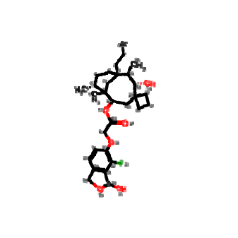 CC(=O)CC[C@]12CC[C@@H](C)[C@](C)(C1)[C@H](OC(=O)COc1ccc3c(c1F)B(O)OC3)CC1(CCC1)[C@@H](O)[C@@H]2C